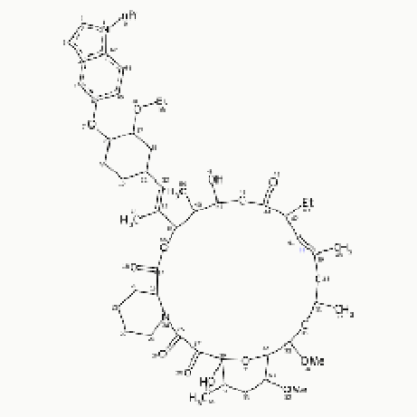 CCCn1ccc2cc(OC3CCC(C=C(C)C4OC(=O)C5CCCCN5C(=O)C(=O)C5(O)OC(C(OC)CC(C)C/C(C)=C/C(CC)C(=O)CC(O)C4C)C(OC)CC5C)CC3OCC)ccc21